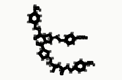 COc1ccc(CS[C@H]2C[C@@H](C(=O)N3CC[C@@H](CNC(C)=NC(=O)OCc4ccc([N+](=O)[O-])cc4)C3)N(C(=O)OCc3ccc([N+](=O)[O-])cc3)C2)cc1